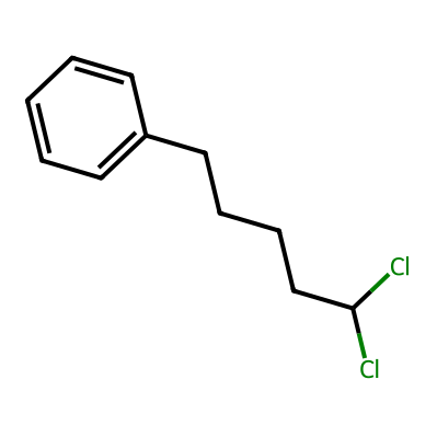 ClC(Cl)CCCCc1ccccc1